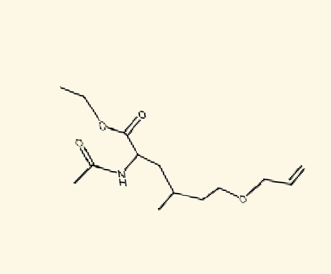 C=CCOCCC(C)CC(NC(C)=O)C(=O)OCC